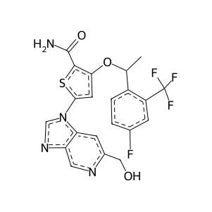 CC(Oc1cc(-n2cnc3cnc(CO)cc32)sc1C(N)=O)c1ccc(F)cc1C(F)(F)F